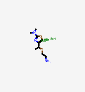 Br.Br.Br.CC(SCCN)c1csc(N(C)C)n1